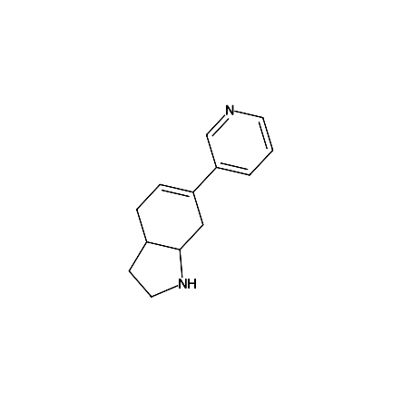 C1=C(c2cccnc2)CC2NCCC2C1